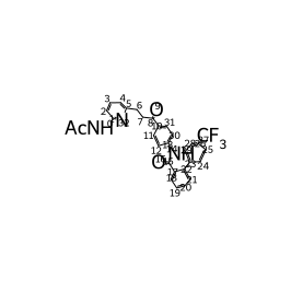 CC(=O)Nc1cccc(CCC(=O)c2ccc(NC(=O)c3ccccc3-c3ccc(C(F)(F)F)cc3)cc2)n1